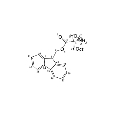 CCCCCCCC[C@@](N)(C(=O)O)C(=O)OCC1c2ccccc2-c2ccccc21